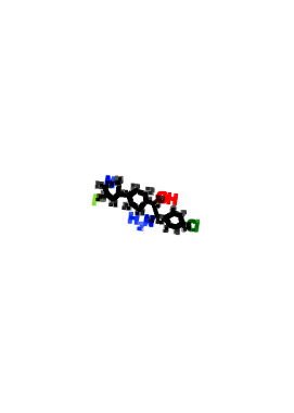 NC(c1ccc(Cl)cc1)C(O)c1ccc(-c2cncc(F)c2)cc1